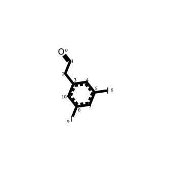 O=CCc1cc(I)cc(I)c1